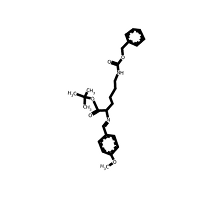 COc1ccc(/C=N/C(CCCCNC(=O)OCc2ccccc2)C(=O)OC(C)(C)C)cc1